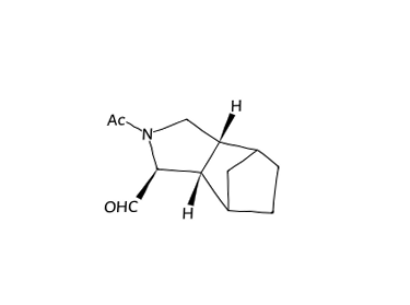 CC(=O)N1C[C@@H]2C3CCC(C3)[C@@H]2[C@H]1C=O